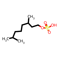 CC(C)CCCC(C)CCOS(=O)(=O)O